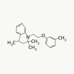 Cc1cccc(OCCN2c3ccccc3C(C)CC2(C)C)c1